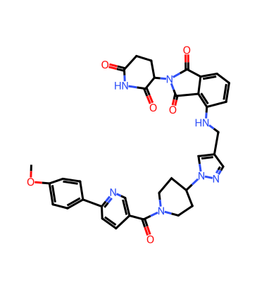 COc1ccc(-c2ccc(C(=O)N3CCC(n4cc(CNc5cccc6c5C(=O)N(C5CCC(=O)NC5=O)C6=O)cn4)CC3)cn2)cc1